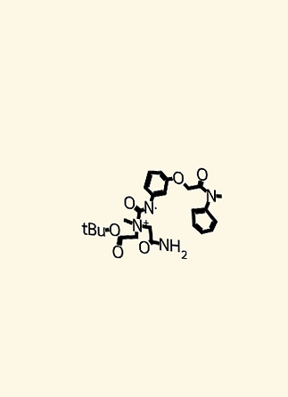 CN(C(=O)COc1cccc([N]C(=O)[N+](C)(CC(N)=O)CC(=O)OC(C)(C)C)c1)c1ccccc1